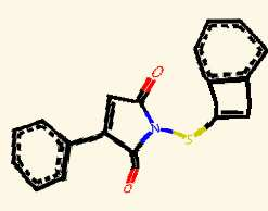 O=C1C=C(c2ccccc2)C(=O)N1SC1=Cc2ccccc21